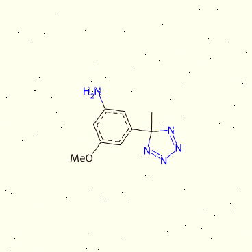 COc1cc(N)cc(C2(C)N=NN=N2)c1